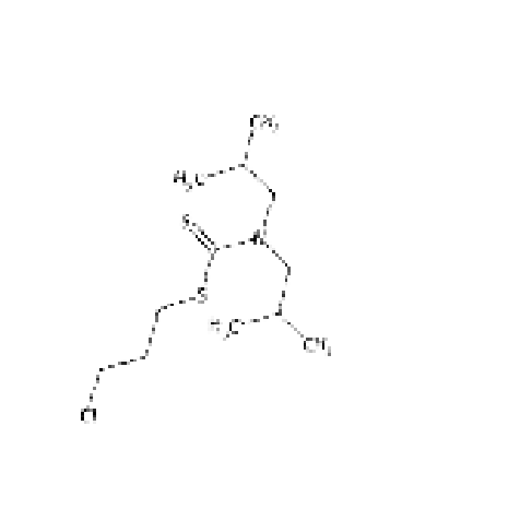 CC(C)CN(CC(C)C)C(=S)SCCCCl